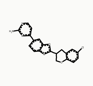 Nc1nccc(-c2ccc3nc(C4COc5ccc(Cl)cc5C4)oc3c2)n1